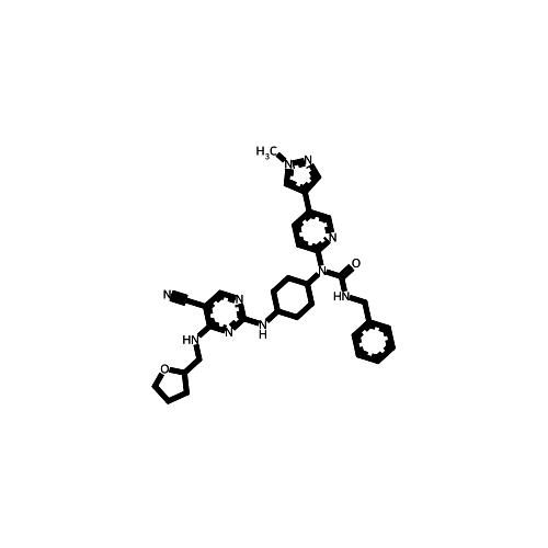 Cn1cc(-c2ccc(N(C(=O)NCc3ccccc3)C3CCC(Nc4ncc(C#N)c(NCC5CCCO5)n4)CC3)nc2)cn1